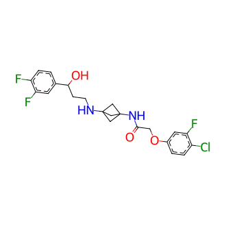 O=C(COc1ccc(Cl)c(F)c1)NC12CC(NCCC(O)c3ccc(F)c(F)c3)(C1)C2